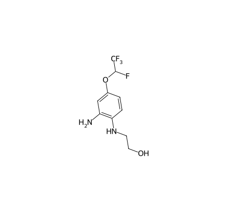 Nc1cc(OC(F)C(F)(F)F)ccc1NCCO